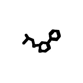 CC(C)COC1CC(c2ccccc2)=CCO1